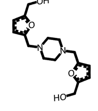 OCc1ccc(CN2CCN(Cc3ccc(CO)o3)CC2)o1